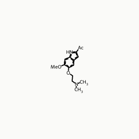 COc1cc2[nH]c(C(C)=O)cc2cc1OCCN(C)C